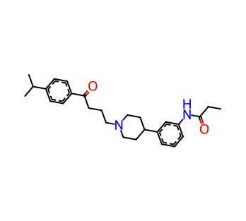 CCC(=O)Nc1cccc(C2CCN(CCCC(=O)c3ccc(C(C)C)cc3)CC2)c1